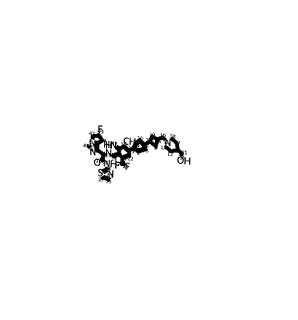 CC1=C(c2ccc(C3CC(CN4CCC(CO)CC4)C3)cc2)C=C(C(F)F)/C(=C/NC(C(=O)Nc2nccs2)c2ncn3c2C[C@@H](F)C3)C1=N